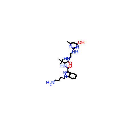 Cc1cc(O)nc(NCCNC(=O)C(NC(=O)c2nn(CCCCN)c3ccccc23)C(C)(C)C)n1